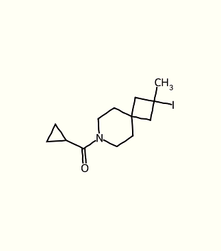 CC1(I)CC2(CCN(C(=O)C3CC3)CC2)C1